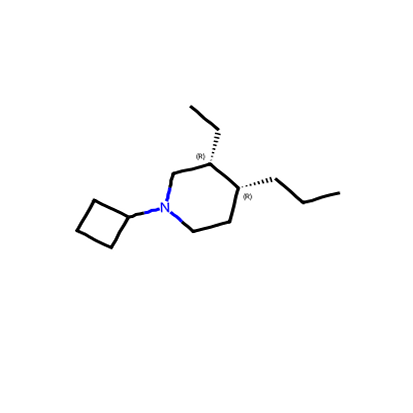 CCC[C@@H]1CCN(C2CCC2)C[C@@H]1CC